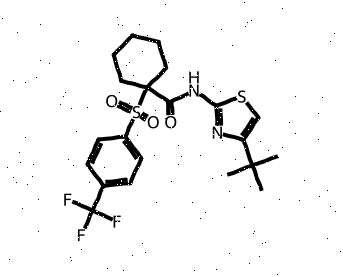 CC(C)(C)c1csc(NC(=O)C2(S(=O)(=O)c3ccc(C(F)(F)F)cc3)CCCCC2)n1